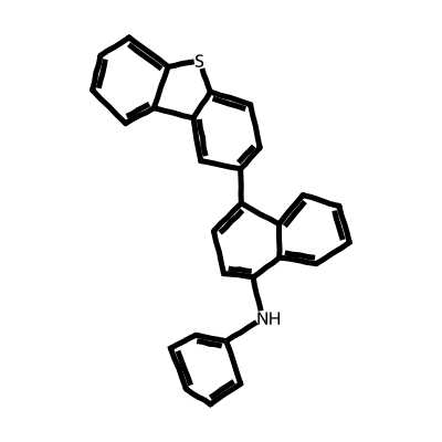 c1ccc(Nc2ccc(-c3ccc4sc5ccccc5c4c3)c3ccccc23)cc1